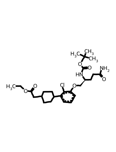 CCOC(=O)CC1CCC(c2cccc(OC[C@H](CCC(N)=O)NC(=O)OC(C)(C)C)c2Cl)CC1